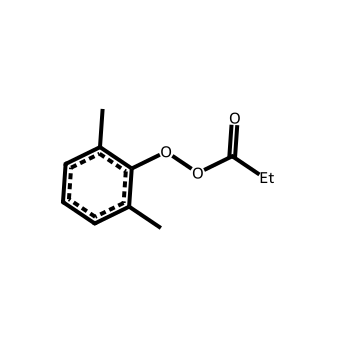 CCC(=O)OOc1c(C)cccc1C